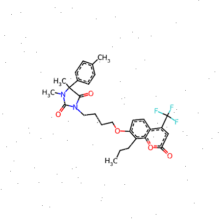 CCCc1c(OCCCCN2C(=O)N(C)C(C)(c3ccc(C)cc3)C2=O)ccc2c(C(F)(F)F)cc(=O)oc12